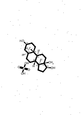 C[C@]12CC[C@H](O)C[C@@H]1CC[C@@H]1[C@@H]2CC[C@]2(C)[C@@H](O)CC[C@@H]12.O=S(=O)(O)O